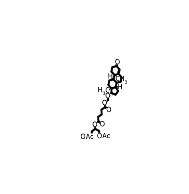 CC(=O)OCC(COC(C)=O)OC(=O)CCCC(=O)OCO[C@H]1CC[C@H]2C3CCC4=CC(=O)CCC4(C)[C@H]3CC[C@]12C